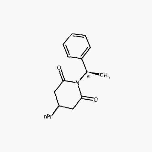 CCCC1CC(=O)N([C@H](C)c2ccccc2)C(=O)C1